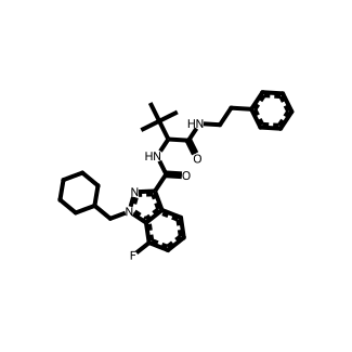 CC(C)(C)C(NC(=O)c1nn(CC2CCCCC2)c2c(F)cccc12)C(=O)NCCc1ccccc1